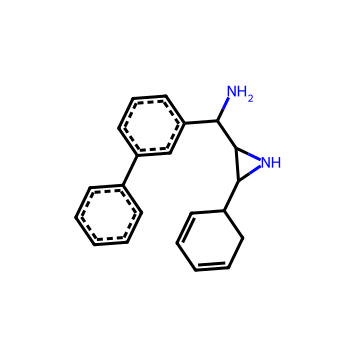 NC(c1cccc(-c2ccccc2)c1)C1NC1C1C=CC=CC1